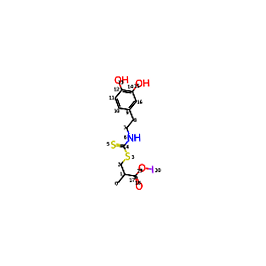 CC(CSC(=S)NCCc1ccc(O)c(O)c1)C(=O)OI